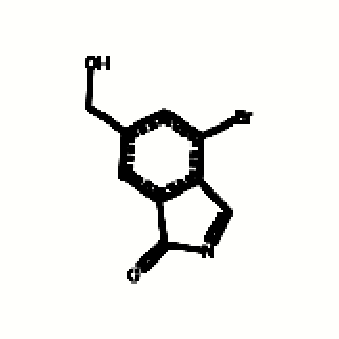 O=C1N=Cc2c(Br)cc(CO)cc21